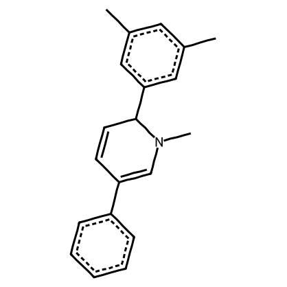 Cc1cc(C)cc(C2C=CC(c3ccccc3)=CN2C)c1